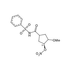 COC1CC(C(=O)NS(=O)(=O)c2ccccc2)C[C@@H]1O[N+](=O)[O-]